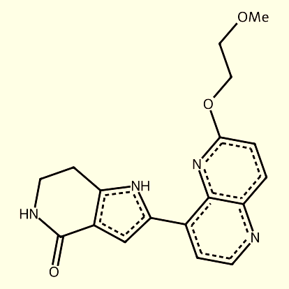 COCCOc1ccc2nccc(-c3cc4c([nH]3)CCNC4=O)c2n1